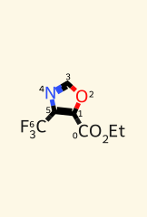 CCOC(=O)c1ocnc1C(F)(F)F